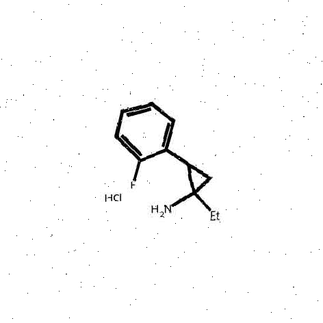 CCC1(N)CC1c1ccccc1F.Cl